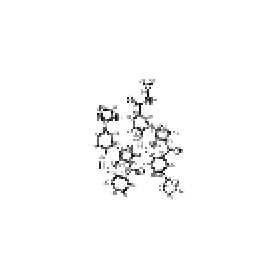 Cc1ccc(-c2nnc[nH]2)cc1-n1ncc(C(=O)c2ccccc2)c1N.Cc1ccc(C(=O)NC2CC2)cc1-n1ncc(C(=O)c2cccc(C3OCCO3)c2)c1N